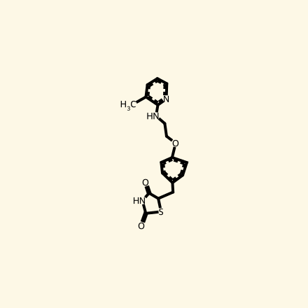 Cc1cccnc1NCCOc1ccc(CC2SC(=O)NC2=O)cc1